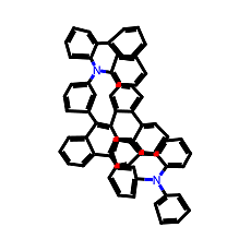 c1ccc(-c2ccccc2N(c2ccccc2)c2cccc(-c3c4ccccc4c(-c4cccc(N(c5ccccc5)c5ccccc5-c5ccccc5)c4)c4c5ccccc5c5ccccc5c34)c2)cc1